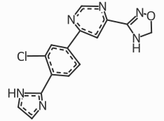 Clc1cc(-c2cc(C3=NOCN3)ncn2)ccc1-c1ncc[nH]1